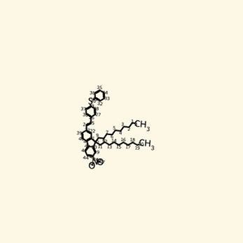 CCCCCCCCCCC1(CCCCCCCCCC)c2cc(C=Cc3ccc(Sc4ccccc4)cc3)ccc2-c2ccc([N+](=O)[O-])cc21